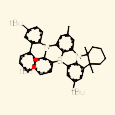 Cc1cc2c3c(c1)N1c4c(cc(C(C)(C)C)cc4C4(C)CCCCC14C)B3c1ccc(C(C)(C)C)cc1N2c1ccc(C(C)(C)C)cc1-c1ccccc1